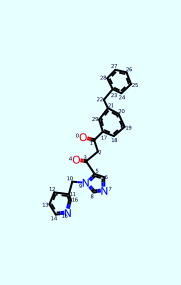 O=C(CC(=O)c1cncn1Cc1cccnc1)c1cccc(Cc2ccccc2)c1